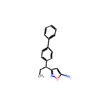 CCC(c1ccc(-c2ccccc2)cc1)c1cc(N)on1